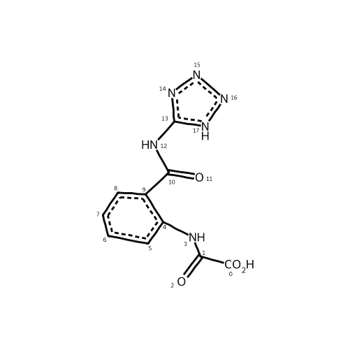 O=C(O)C(=O)Nc1ccccc1C(=O)Nc1nnn[nH]1